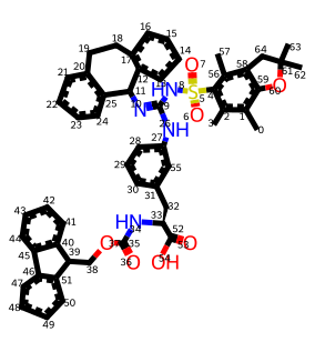 Cc1c(C)c(S(=O)(=O)N/C(=N\C2c3ccccc3CCc3ccccc32)Nc2cccc(C[C@H](NC(=O)OCC3c4ccccc4-c4ccccc43)C(=O)O)c2)c(C)c2c1OC(C)(C)C2